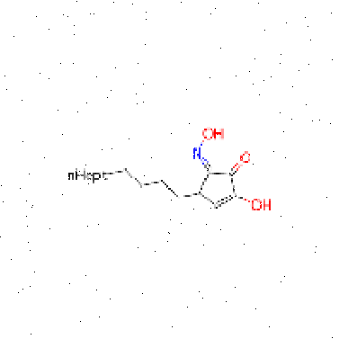 CCCCCCCCCCCC1C=C(O)C(=O)C1=NO